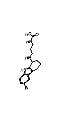 O=C(O)NCCCNC1CCCc2c1[nH]c1ccc(Br)cc21